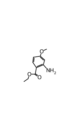 CCOC(=O)c1ccc(OC)cc1N